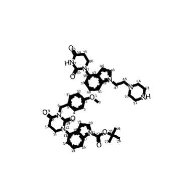 COc1ccc(CN2C(=O)CCN(c3cccc4c3ccn4C(=O)OC(C)(C)C)C2=O)cc1.O=C1CCN(c2cccc3c2ccn3CCN2CCNCC2)C(=O)N1